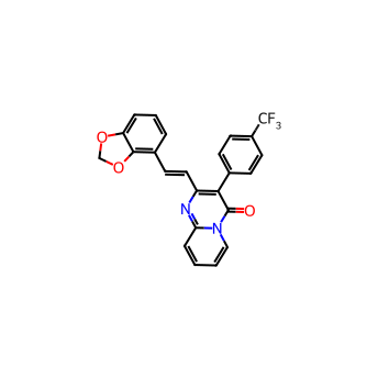 O=c1c(-c2ccc(C(F)(F)F)cc2)c(/C=C/c2cccc3c2OCO3)nc2ccccn12